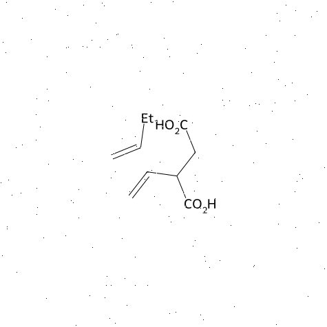 C=CC(CC(=O)O)C(=O)O.C=CCC